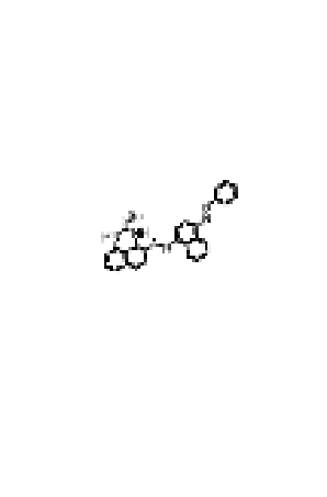 CC(C)(C)C1Nc2cccc3ccc(/N=N/c4ccc(/N=N/c5ccccc5)c5ccccc45)c(c23)N1